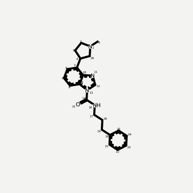 CN1CCC(c2cccc3c2ncn3C(=O)NCCCc2ccccc2)C1